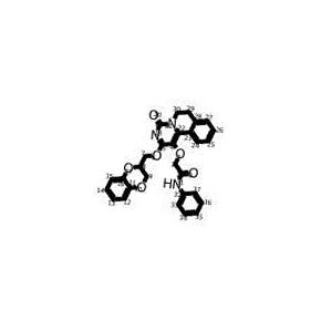 O=C(COc1c(OCC2COc3ccccc3O2)nc(=O)n2c1-c1ccccc1CC2)Nc1ccccc1